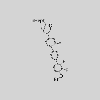 CCCCCCCC1OCC(c2ccc(-c3ccc(-c4ccc(OCC)c(F)c4F)cc3)c(F)c2)CO1